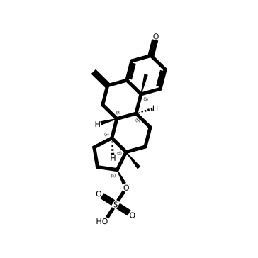 C=C1C[C@H]2[C@@H]3CC[C@H](OS(=O)(=O)O)[C@@]3(C)CC[C@@H]2[C@@]2(C)C=CC(=O)C=C12